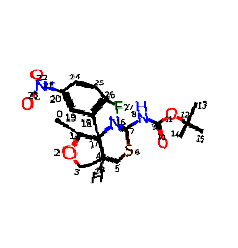 C[C@@H]1OC[C@H]2CSC(NC(=O)OC(C)(C)C)=N[C@]21c1cc([N+](=O)[O-])ccc1F